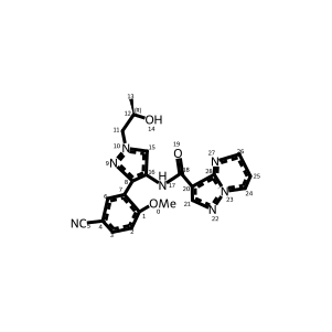 COc1ccc(C#N)cc1-c1nn(C[C@@H](C)O)cc1NC(=O)c1cnn2cccnc12